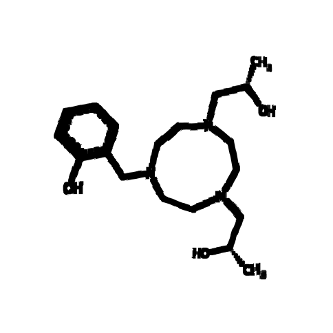 C[C@H](O)CN1CCN(Cc2ccccc2O)CCN(C[C@H](C)O)CC1